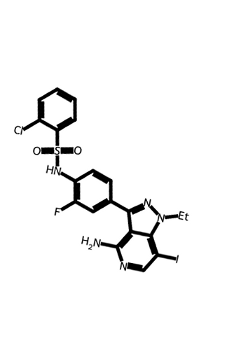 CCn1nc(-c2ccc(NS(=O)(=O)c3ccccc3Cl)c(F)c2)c2c(N)ncc(I)c21